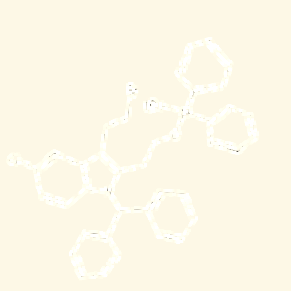 CC(C)(C)[Si](OCCc1c(CCBr)c2cc(Cl)ccc2n1C(c1ccccc1)c1ccccc1)(c1ccccc1)c1ccccc1